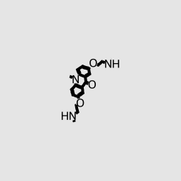 CNCCOc1ccc2c(c1)c(=O)c1cc(OCCNC)ccc1n2C